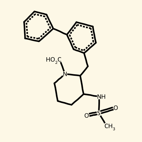 CS(=O)(=O)NC1CCCN(C(=O)O)C1Cc1cccc(-c2ccccc2)c1